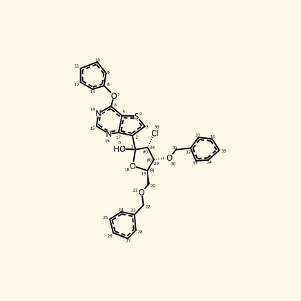 OC1(c2csc3c(Oc4ccccc4)ncnc23)O[C@H](COCc2ccccc2)[C@@H](OCc2ccccc2)[C@H]1Cl